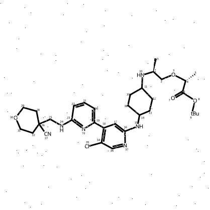 C[C@@H](CO[C@H](C)C(=O)OC(C)(C)C)NC1CCC(Nc2cc(-c3cccc(NCC4(C#N)CCOCC4)n3)c(Cl)cn2)CC1